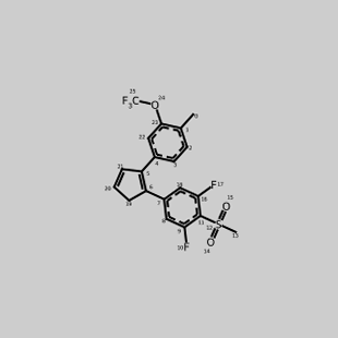 Cc1ccc(C2=C(c3cc(F)c(S(C)(=O)=O)c(F)c3)CC=C2)cc1OC(F)(F)F